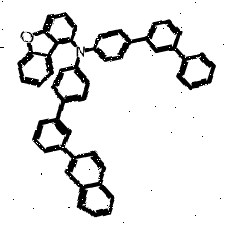 c1ccc(-c2cccc(-c3ccc(N(c4ccc(-c5cccc(-c6ccc7ccccc7c6)c5)cc4)c4cccc5oc6ccccc6c45)cc3)c2)cc1